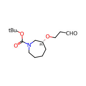 CC(C)(C)OC(=O)N1CCCC[C@@H](OCCC=O)C1